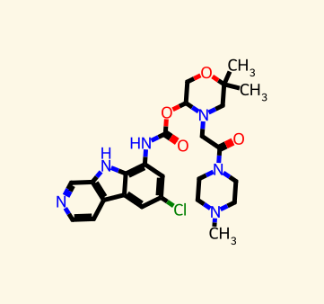 CN1CCN(C(=O)CN2CC(C)(C)OCC2OC(=O)Nc2cc(Cl)cc3c2[nH]c2cnccc23)CC1